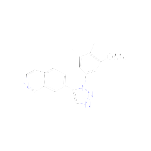 COc1cc(-n2nncc2-c2ccc3ccncc3c2)cc(C)c1C